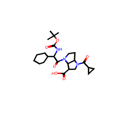 CC(C)(C)OC(=O)NC(C(=O)N1CCC2C1C(C(=O)O)CN2C(=O)C1CC1)C1CCCCC1